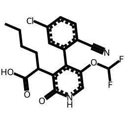 CCCCC(C(=O)O)c1c(-c2cc(Cl)ccc2C#N)c(OC(F)F)c[nH]c1=O